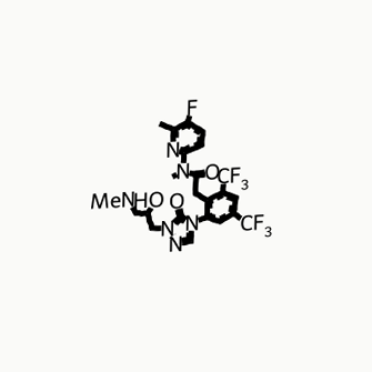 CNCC(O)Cn1ncn(-c2cc(C(F)(F)F)cc(C(F)(F)F)c2CC(=O)N(C)c2ccc(F)c(C)n2)c1=O